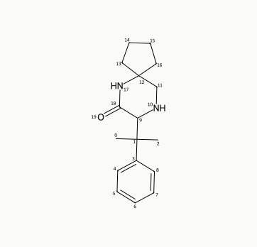 CC(C)(c1ccccc1)C1NCC2(CCCC2)NC1=O